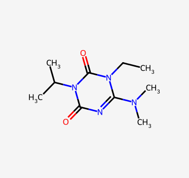 CCn1c(N(C)C)nc(=O)n(C(C)C)c1=O